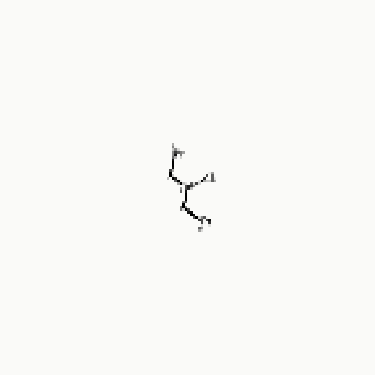 CC(C)[CH2][Al-2]([Cl])[CH2]C(C)C